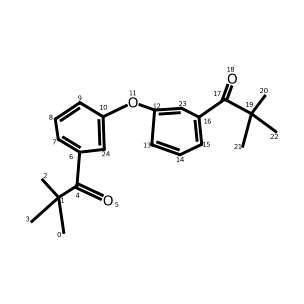 CC(C)(C)C(=O)c1cccc(Oc2cccc(C(=O)C(C)(C)C)c2)c1